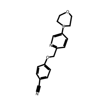 N#Cc1ccc(OCc2ccc(N3CCOCC3)cn2)cc1